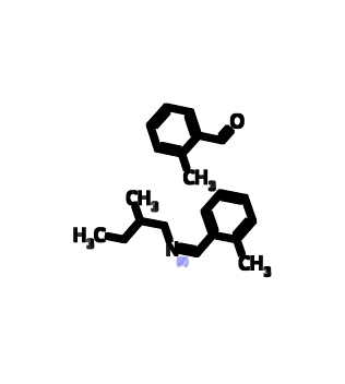 CCC(C)C/N=C\c1ccccc1C.Cc1ccccc1C=O